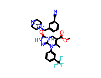 COC(=O)C1=C(C)N(c2cccc(C(F)(F)F)c2)c2n[nH]c(=O)n2[C@@H]1c1ccc(C#N)cc1C[N+]12CCN(CC1)CC2